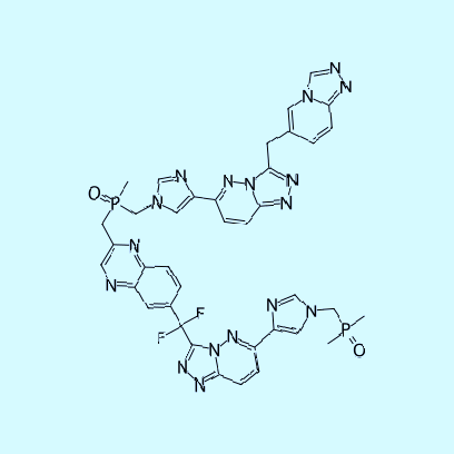 CP(C)(=O)Cn1cnc(-c2ccc3nnc(C(F)(F)c4ccc5nc(CP(C)(=O)Cn6cnc(-c7ccc8nnc(Cc9ccc%10nncn%10c9)n8n7)c6)cnc5c4)n3n2)c1